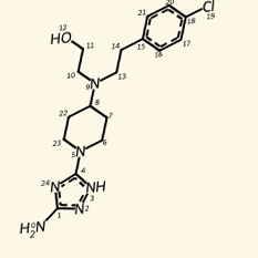 Nc1n[nH]c(N2CCC(N(CCO)CCc3ccc(Cl)cc3)CC2)n1